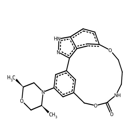 C[C@H]1CN(c2cc3cc(c2)-c2n[nH]c4ccc(cc24)OCCCNC(=O)OC3)[C@@H](C)CO1